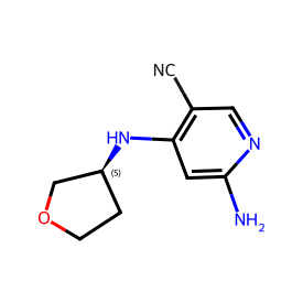 N#Cc1cnc(N)cc1N[C@H]1CCOC1